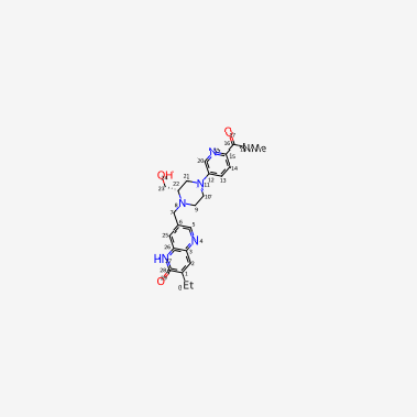 CCc1cc2ncc(CN3CCN(c4ccc(C(=O)NC)nc4)C[C@H]3CO)cc2[nH]c1=O